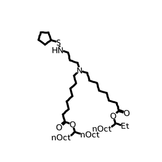 CCCCCCCCC(CC)OC(=O)CCCCCCCN(CCCCCCCC(=O)OC(CCCCCCCC)CCCCCCCC)CCCNSC1CCCC1